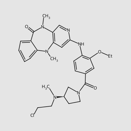 CCOc1cc(C(=O)N2CC[C@@H](N(C)CCCl)C2)ccc1Nc1cc2c(cn1)N(C)C(=O)c1ccccc1N2C